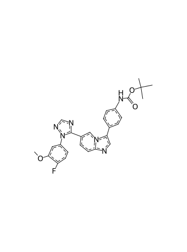 COc1cc(-n2ncnc2-c2ccc3ncc(-c4ccc(NC(=O)OC(C)(C)C)cc4)n3c2)ccc1F